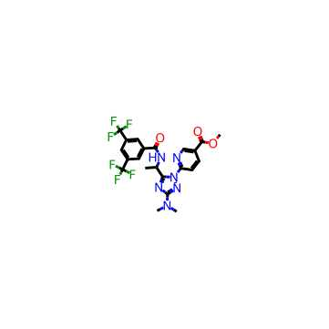 COC(=O)c1ccc(-n2nc(N(C)C)nc2C(C)NC(=O)c2cc(C(F)(F)F)cc(C(F)(F)F)c2)nc1